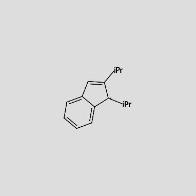 CC(C)[C]1C(C(C)C)=Cc2ccccc21